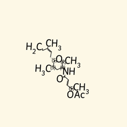 C=CC(C)=CC[C@@H]1O[C@H](C)[C@H](NC(=O)C=C[C@H](C)OC(C)=O)C[C@@H]1C